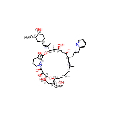 CO[C@H]1C[C@@H](C)[C@@]2(O)O[C@@H]1[C@@H](O)C[C@@H](C)C/C(C)=C/[C@@H](C/C=C/c1ccccn1)C(=O)C[C@H](O)[C@@H](C)[C@@H](/C(C)=C/[C@@H]1CC[C@@H](O)[C@H](OC)C1)OC(=O)[C@@H]1CCCCN1C(=O)C2=O